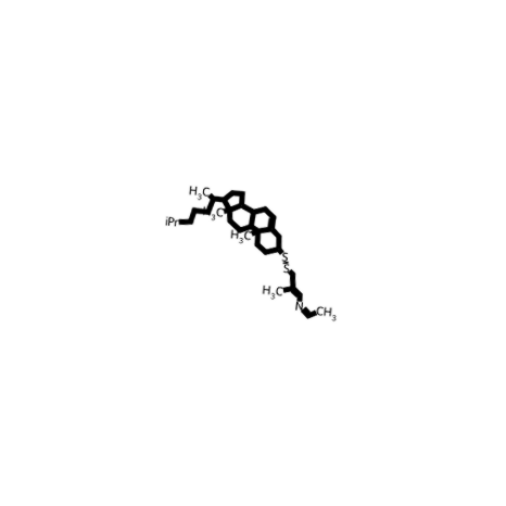 C/C=N\C=C(/C)CSSC1CCC2(C)C(=CCC3C2CCC2(C)C(C(C)CCCC(C)C)CCC32)C1